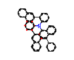 c1ccc(-c2ccc(N(c3ccccc3-c3ccc4ccccc4c3)c3ccccc3-c3cc4ccccc4c4ccccc34)c3ccccc23)cc1